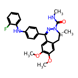 CNC(=O)N1N=C(c2ccc(Nc3ccccc3F)cc2)c2cc(OC)c(OC)cc2C[C@H]1C